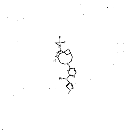 CC(C)N(c1cnn(C)c1)c1nccc(N2CCC3CC(C(=O)[C@@H]4CC4(F)F)(C3)C[C@H](C)CC2)n1